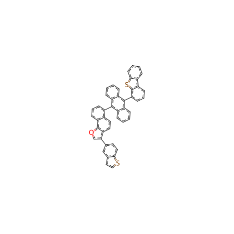 c1ccc2c(c1)sc1c(-c3c4ccccc4c(-c4cccc5c4ccc4c(-c6ccc7sccc7c6)coc45)c4ccccc34)cccc12